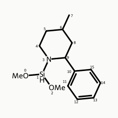 CO[SiH](OC)N1CCC(C)CC1c1ccccc1